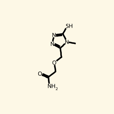 Cn1c(S)nnc1COCC(N)=O